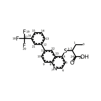 CCC(Sc1ccnc2ccc(-c3cccc(C(F)(F)F)c3)cc12)C(=O)O